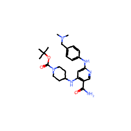 CN(C)Cc1ccc(Nc2cc(NC3CCN(C(=O)OC(C)(C)C)CC3)c(C(N)=O)cn2)cc1